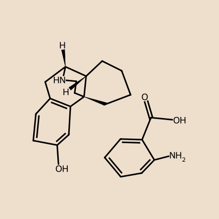 Nc1ccccc1C(=O)O.Oc1ccc2c(c1)[C@@]13CCCC[C@H]1[C@@H](C2)NCC3